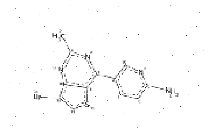 Cc1nc(-c2ccc(N)nc2)c2scc(Br)c2n1